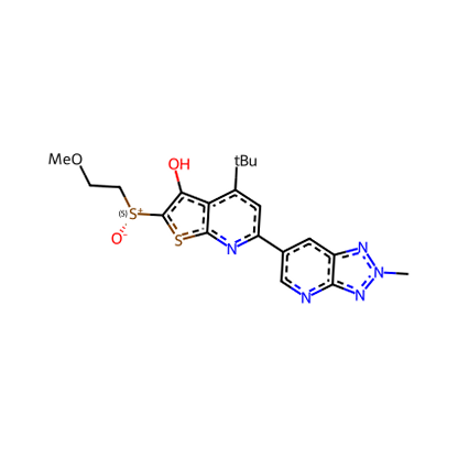 COCC[S@@+]([O-])c1sc2nc(-c3cnc4nn(C)nc4c3)cc(C(C)(C)C)c2c1O